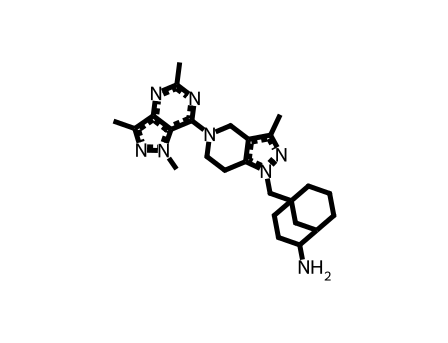 Cc1nc(N2CCc3c(c(C)nn3CC34CCCC(C3)C(N)CC4)C2)c2c(n1)c(C)nn2C